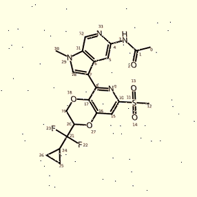 CC(=O)Nc1cc2c(-c3nc(S(C)(=O)=O)cc4c3OCC(C(F)(F)C3CC3)O4)cn(C)c2cn1